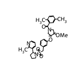 CO[C@@H]1CN(C(=O)c2cc(C)ccc2C)C[C@H]1Oc1cccc(CS(=O)(=O)N2CCCC2c2cccnc2C)c1